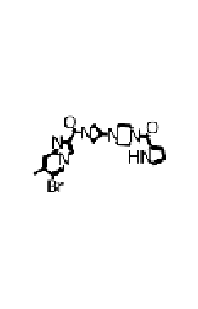 Cc1cc2nc(C(=O)N3CC(N4CCN(C(=O)c5ccc[nH]5)CC4)C3)cn2cc1Br